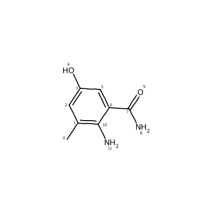 Cc1cc(O)cc(C(N)=O)c1N